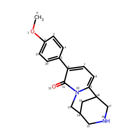 COc1ccc(-c2ccc3n(c2=O)CC2CNCC3C2)cc1